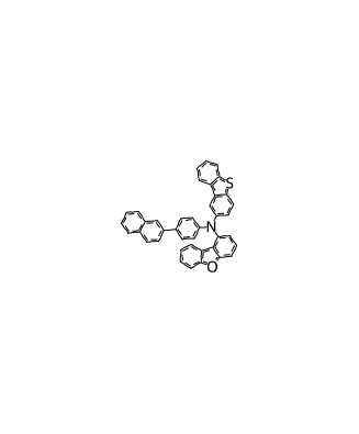 c1ccc2cc(-c3ccc(N(c4ccc5sc6ccccc6c5c4)c4cccc5oc6ccccc6c45)cc3)ccc2c1